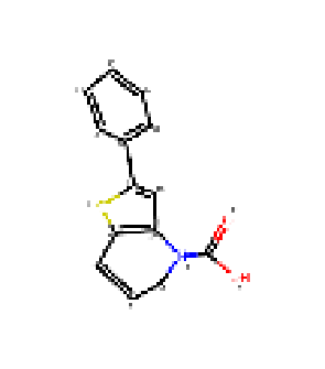 O=C(O)N1CC=Cc2sc(-c3ccccc3)cc21